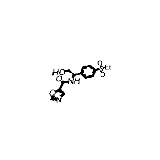 CCS(=O)(=O)c1ccc([C@H](CO)NC(=O)c2cnco2)cc1